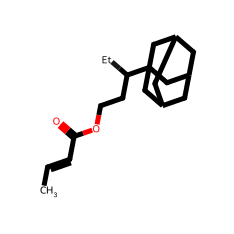 CC=CC(=O)OCCC(CC)C12CC3CC(CC(C3)C1)C2